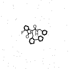 O=C(NCc1ccccc1)C1c2cccc(F)c2C(=O)N1Cc1ccccc1-c1ccccc1